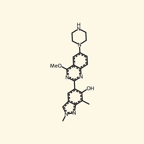 COc1nc(-c2cc3cn(C)nc3c(C)c2O)nc2ccc(N3CCNCC3)cc12